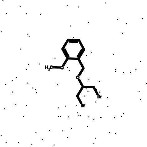 COc1ccccc1COC(CBr)CBr